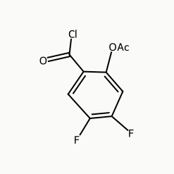 CC(=O)Oc1cc(F)c(F)cc1C(=O)Cl